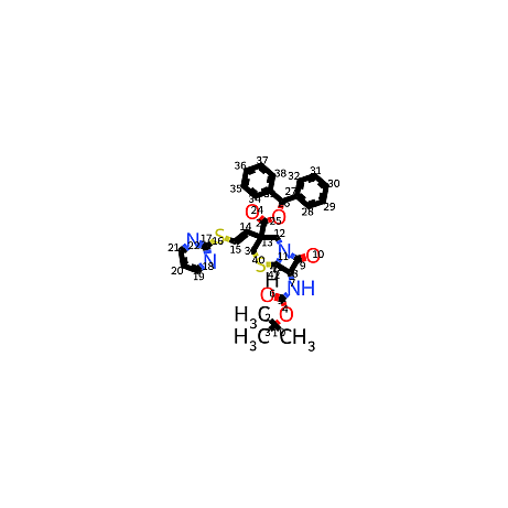 CC(C)(C)OC(=O)NC1C(=O)N2CC(C=CSc3ncccn3)(C(=O)OC(c3ccccc3)c3ccccc3)CS[C@H]12